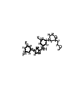 COCCC1CN(c2cc(C)cc(Nc3ncn(-c4cc(F)cc(F)c4)n3)c2)CCO1